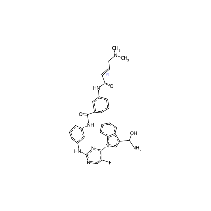 CN(C)C/C=C/C(=O)Nc1cccc(C(=O)Nc2cccc(Nc3ncc(F)c(-n4cc(C(N)O)c5ccccc54)n3)c2)c1